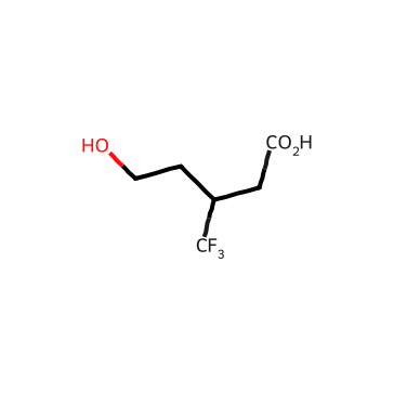 O=C(O)CC(CCO)C(F)(F)F